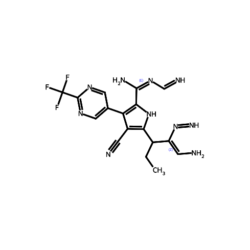 CCC(/C(=C/N)N=N)c1[nH]c(/C(N)=N\C=N)c(-c2cnc(C(F)(F)F)nc2)c1C#N